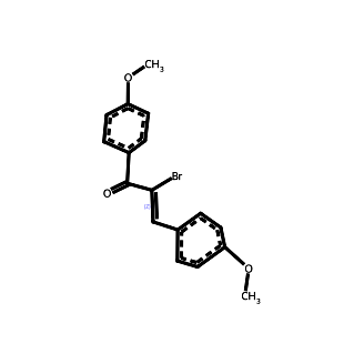 COc1ccc(/C=C(\Br)C(=O)c2ccc(OC)cc2)cc1